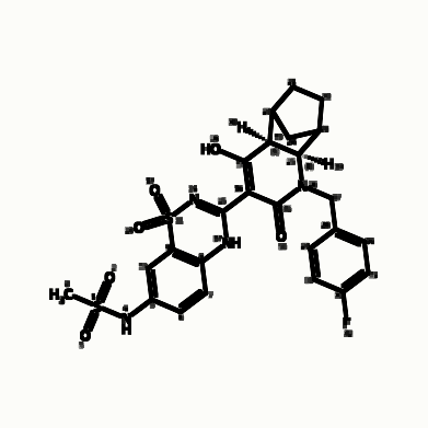 CS(=O)(=O)Nc1ccc2c(c1)S(=O)(=O)N=C(C1=C(O)[C@H]3C4CCC(C4)[C@H]3N(Cc3ccc(F)cc3)C1=O)N2